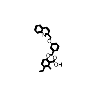 CCc1ccc(OCc2cccc(OCc3ccc4ccccc4n3)c2)c(C(=O)O)c1C